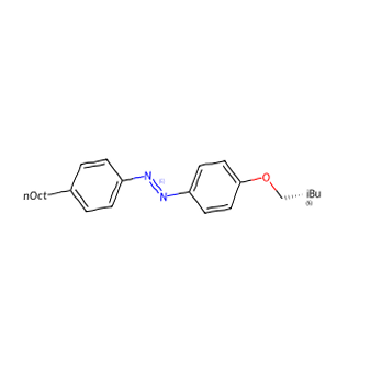 CCCCCCCCc1ccc(/N=N/c2ccc(OC[C@@H](C)CC)cc2)cc1